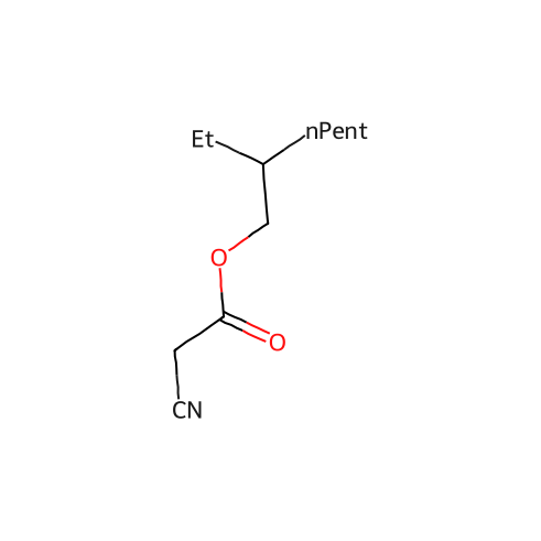 CCCCCC(CC)COC(=O)CC#N